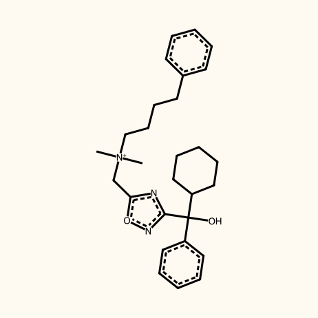 C[N+](C)(CCCCc1ccccc1)Cc1nc(C(O)(c2ccccc2)C2CCCCC2)no1